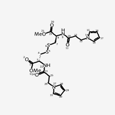 COC(=O)[C@H](CSSC[C@H](NC(=O)CCn1cccc1)C(=O)OC)NC(=O)CCn1cccc1